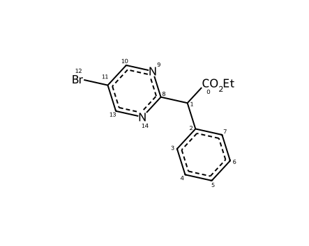 CCOC(=O)C(c1ccccc1)c1ncc(Br)cn1